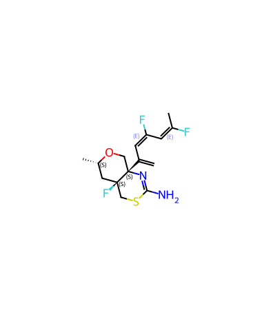 C=C(/C=C(F)\C=C(/C)F)[C@]12CO[C@@H](C)C[C@@]1(F)CSC(N)=N2